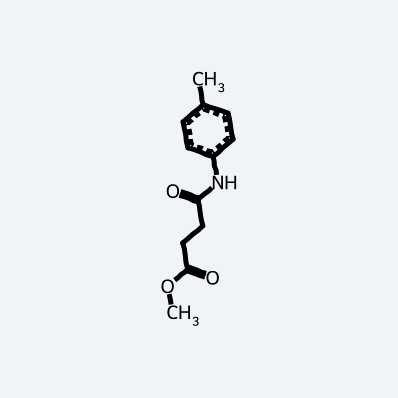 COC(=O)CCC(=O)Nc1ccc(C)cc1